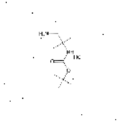 CC(C)(CN)NC(=O)OC(C)(C)C.Cl